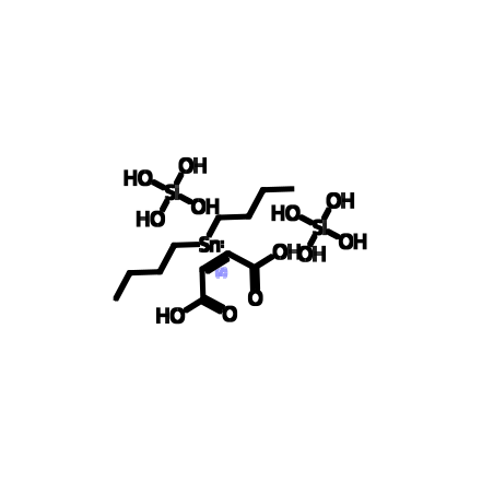 CCC[CH2][Sn][CH2]CCC.O=C(O)/C=C\C(=O)O.O[Si](O)(O)O.O[Si](O)(O)O